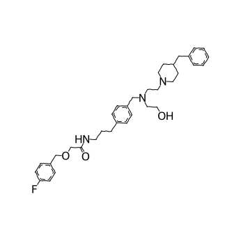 O=C(COCc1ccc(F)cc1)NCCCc1ccc(CN(CCO)CCN2CCC(Cc3ccccc3)CC2)cc1